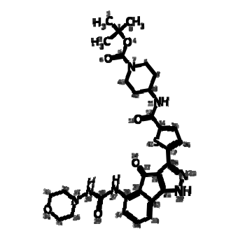 CC(C)(C)OC(=O)N1CCC(NC(=O)c2ccc(-c3n[nH]c4c3C(=O)c3c(NC(=O)NN5CCOCC5)cccc3-4)s2)CC1